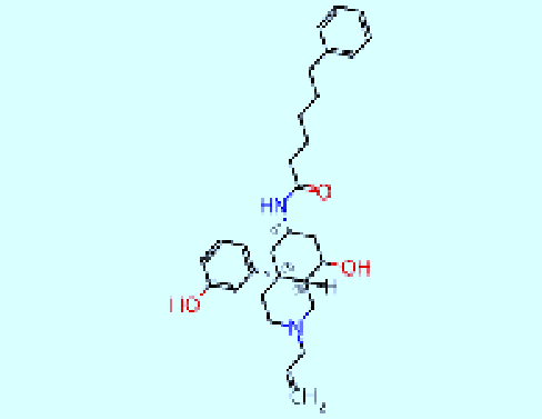 C=CCN1CC[C@@]2(c3cccc(O)c3)C[C@H](NC(=O)CCCCCc3ccccc3)CC(O)[C@@H]2C1